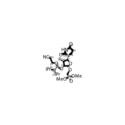 COP(=O)(CO[C@H]1O[C@@H](n2ccc(=O)[nH]c2=O)[C@H](F)[C@@H]1OP(OCCC#N)N(C(C)C)C(C)C)OC